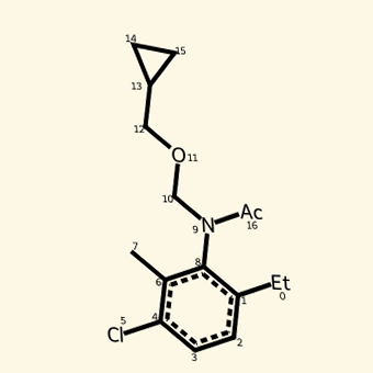 CCc1ccc(Cl)c(C)c1N(COCC1CC1)C(C)=O